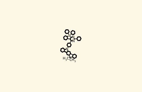 CC1(C)c2ccccc2-c2cc3c(cc21)c1ccccc1n3-c1ccc(-c2nc(-c3ccccc3)nc3c2-c2ccccc2[Si]3(c2ccccc2)c2ccccc2)cc1